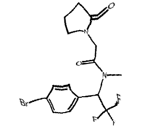 CN(C(=O)CN1CCCC1=O)C(c1ccc(Br)cc1)C(F)(F)F